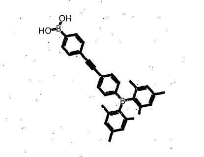 Cc1cc(C)c(B(c2ccc(C#Cc3ccc(B(O)O)cc3)cc2)c2c(C)cc(C)cc2C)c(C)c1